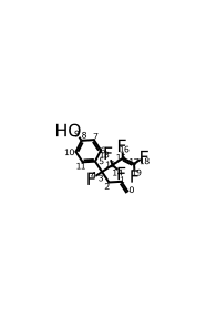 C=CCC(F)(c1ccc(O)cc1)C(F)(F)C(F)=C(F)F